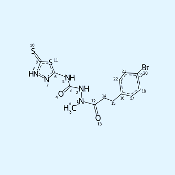 CN(NC(=O)Nc1n[nH]c(=S)s1)C(=O)CCc1ccc(Br)cc1